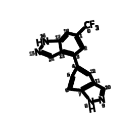 FC(F)(F)c1cc(-c2ccc3[nH]ncc3c2)c2cn[nH]c2c1